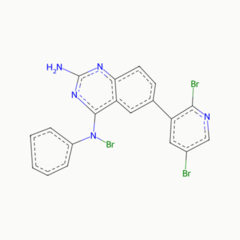 Nc1nc(N(Br)c2ccccc2)c2cc(-c3cc(Br)cnc3Br)ccc2n1